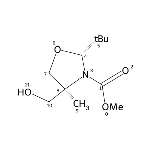 COC(=O)N1[C@@H](C(C)(C)C)OC[C@]1(C)CO